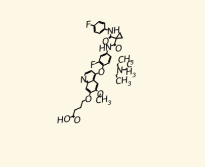 CCN(CC)CC.COc1cc2c(Oc3ccc(NC(=O)C4(C(=O)Nc5ccc(F)cc5)CC4)cc3F)ccnc2cc1OCCCC(=O)O